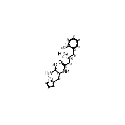 NC(=O)C(Cc1ccco1)NC(=O)C[C@H](N)Cc1ccccc1F